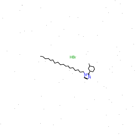 Br.CCCCCCCCCCCCCCCCCCn1ccnc1C1CCCC(C)C1